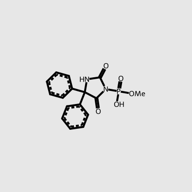 COP(=O)(O)N1C(=O)NC(c2ccccc2)(c2ccccc2)C1=O